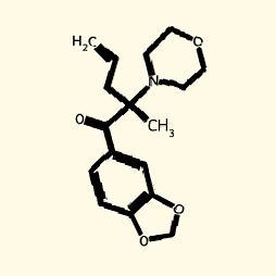 C=CCC(C)(C(=O)c1ccc2c(c1)OCO2)N1CCOCC1